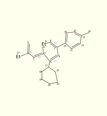 C=C(/C=C(C)/C(=C\C(=C/CC)c1ccc(C)cc1)C1CCCCC1)CC